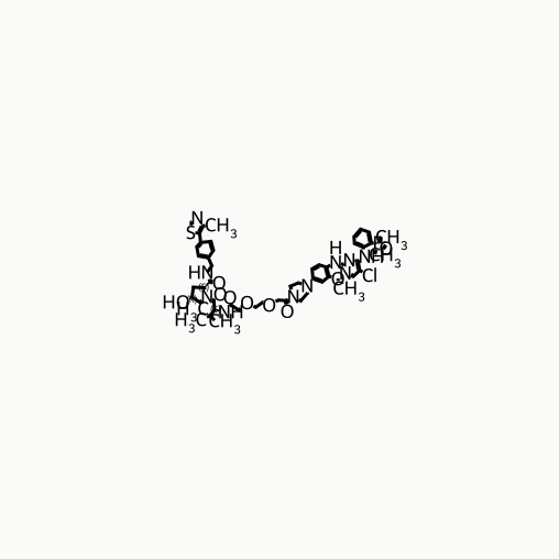 COc1cc(N2CCN(C(=O)COCCOCC(=O)N[C@H](C(=O)N3C[C@H](O)C[C@H]3C(=O)NCc3ccc(-c4scnc4C)cc3)C(C)(C)C)CC2)ccc1Nc1ncc(Cl)c(Nc2ccccc2P(C)(C)=O)n1